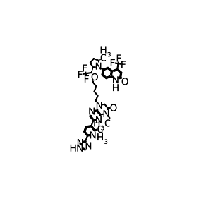 CCN1C(=O)CN(CCCCCOC([C@H]2CC[C@H](C)N2c2ccc3[nH]c(=O)cc(C(F)(F)F)c3c2)C(F)(F)F)c2ncc(-c3ccc(-c4nc[nH]n4)nc3C)nc21